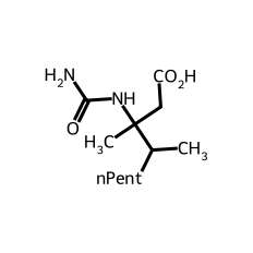 CCCCCC(C)C(C)(CC(=O)O)NC(N)=O